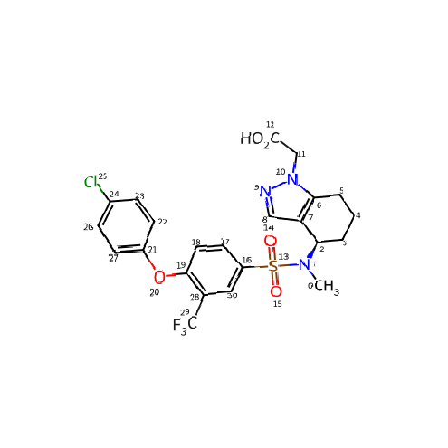 CN([C@@H]1CCCc2c1cnn2CC(=O)O)S(=O)(=O)c1ccc(Oc2ccc(Cl)cc2)c(C(F)(F)F)c1